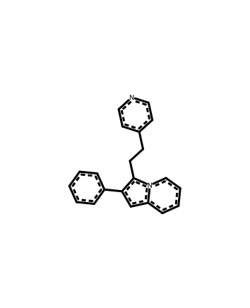 c1ccc(-c2cc3ccccn3c2CCc2ccncc2)cc1